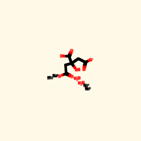 O.O.O=C([O-])CC(O)(CC(=O)[O-])C(=O)[O-].[Mn].[Na+].[Na+].[Na+]